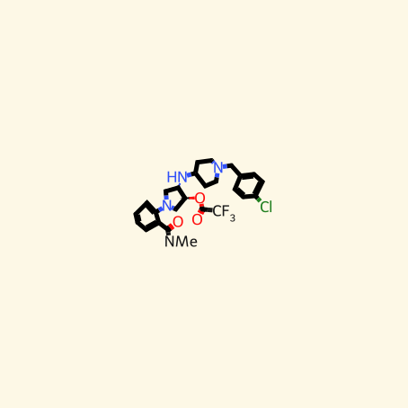 CNC(=O)c1ccccc1N1C[C@H](NC2CCN(Cc3ccc(Cl)cc3)CC2)[C@@H](OC(=O)C(F)(F)F)C1